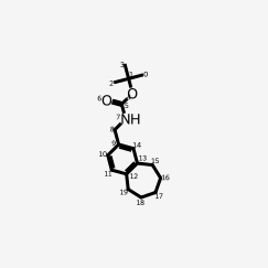 CC(C)(C)OC(=O)NCc1ccc2c(c1)CCCCC2